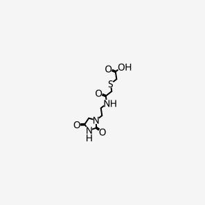 O=C(O)CSCC(=O)NCCN1CC(=O)NC1=O